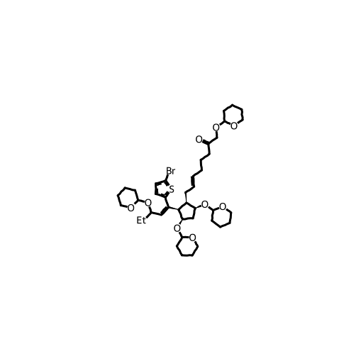 CCC(C=C(c1ccc(Br)s1)[C@H]1[C@@H](CC=CCCCC(=O)COC2CCCCO2)[C@@H](OC2CCCCO2)C[C@H]1OC1CCCCO1)OC1CCCCO1